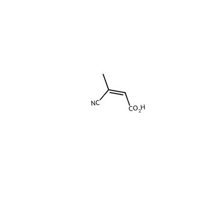 C/C(C#N)=C/C(=O)O